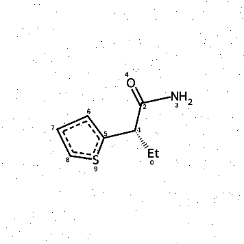 CC[C@@H](C(N)=O)c1cccs1